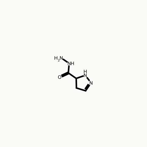 NNC(=O)C1CC=NN1